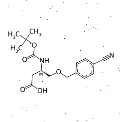 CC(C)(C)OC(=O)N[C@@H](COCc1ccc(C#N)cc1)CC(=O)O